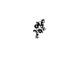 C=CC(=O)Nc1cc(Nc2ncc(C(=O)OC(C)C)c(-c3cn(C)c4ccccc34)n2)c(C)cc1N(C)CCN(C)C